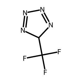 FC(F)(F)C1N=NN=N1